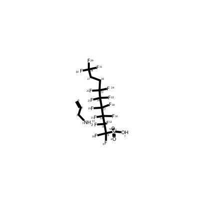 C=CCN.O=S(=O)(O)C(F)(F)C(F)(F)C(F)(F)C(F)(F)C(F)(F)C(F)(F)CCC(F)(F)F